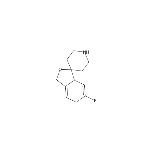 FC1=CC2C(=CC1)COC21CCNCC1